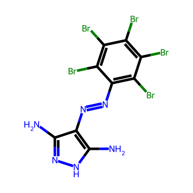 Nc1n[nH]c(N)c1N=Nc1c(Br)c(Br)c(Br)c(Br)c1Br